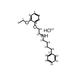 CCOc1ccccc1OCCNCCCCc1ccccc1.Cl